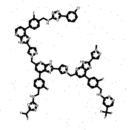 Cn1cc(-c2nc3c(-c4ccc(CNc5cc(C(F)(F)F)cnn5)c(F)c4)cc(Cn4cc(-c5nc6c(-c7ccc(CNc8nnc(C(F)F)o8)c(F)c7)cc(Cn7cc(-c8nc9c(-c%10ccc(CNc%11nnc(-c%12cccc(Cl)c%12)o%11)c(F)c%10)ccnc9[nH]8)cn7)nc6[nH]5)cn4)nc3[nH]2)cn1